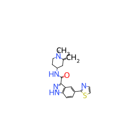 C=C1CC(NC(=O)c2n[nH]c3ccc(-c4nccs4)cc23)CCN1C